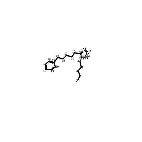 [CH2]CCCCn1nnnc1CCCCCc1ccccc1